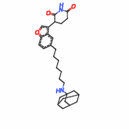 O=C1CCC(c2coc3ccc(CCCCCCCNC45CC6CC(CC(C6)C4)C5)cc23)C(=O)N1